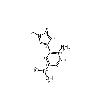 Cn1cc(-c2cc(B(O)O)cnc2N)cn1